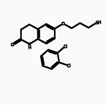 Clc1ccccc1Cl.O=C1CCc2cc(OCCCS)ccc2N1